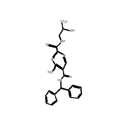 O=C(NCC(O)C(=O)O)c1ncc(C(=O)NC(c2ccccc2)c2ccccc2)c(O)n1